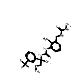 CNC(=O)NCc1cccc(NC(=S)NC(C)(COC)c2cccc(C(F)(F)F)c2)c1N